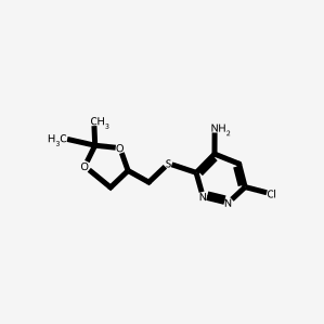 CC1(C)OCC(CSc2nnc(Cl)cc2N)O1